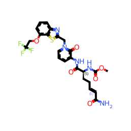 COC(=O)N[C@@H](CC/C=C/C(N)=O)C(=O)Nc1cccn(Cc2nc3cccc(OCC(F)(F)F)c3s2)c1=O